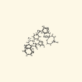 CN1CCCC(O)(Cn2cc(Oc3ccc(OC(F)F)c(-c4nn(C)cc4NC(=O)c4cnn5cccnc45)c3)cn2)CC1